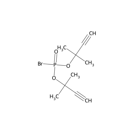 C#CC(C)(C)OP(=O)(Br)OC(C)(C)C#C